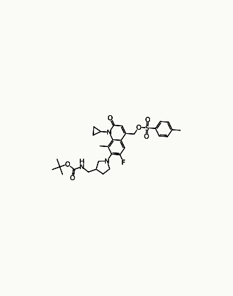 Cc1ccc(S(=O)(=O)OCc2cc(=O)n(C3CC3)c3c(C)c(N4CCC(CNC(=O)OC(C)(C)C)C4)c(F)cc23)cc1